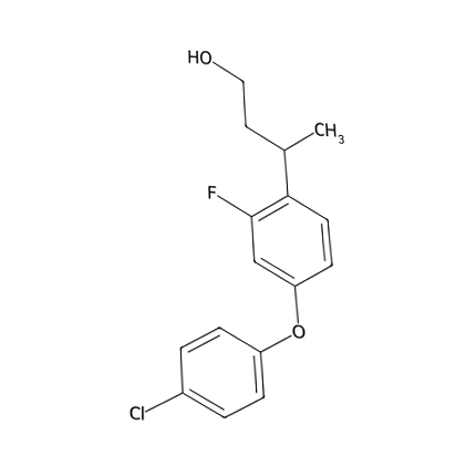 CC(CCO)c1ccc(Oc2ccc(Cl)cc2)cc1F